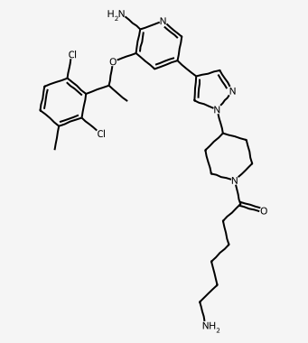 Cc1ccc(Cl)c(C(C)Oc2cc(-c3cnn(C4CCN(C(=O)CCCCCN)CC4)c3)cnc2N)c1Cl